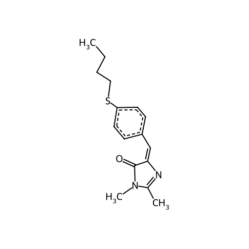 CCCCSc1ccc(C=C2N=C(C)N(C)C2=O)cc1